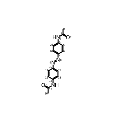 CC(=O)Nc1ccc(/N=N/c2ccc(NC(C)=O)cc2)cc1